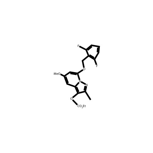 CCOC(=O)Oc1c(C)nn2c(OCc3c(F)cccc3F)cc(OC)cc12